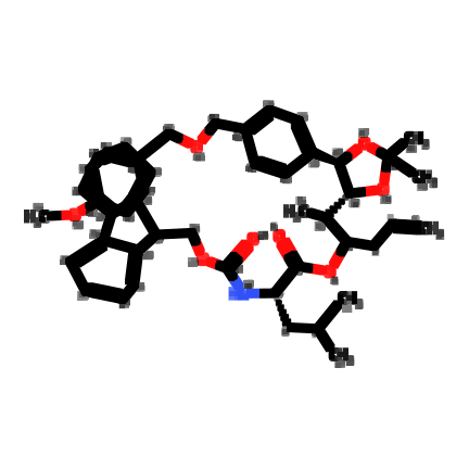 C=CCC(OC(=O)[C@H](CC(C)C)NC(=O)OCC1c2ccccc2-c2ccccc21)C(C)[C@H]1OC(C)(C)O[C@@H]1c1ccc(COCc2ccc(OC)cc2)cc1